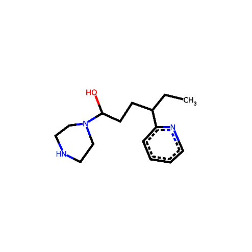 CCC(CCC(O)N1CCNCC1)c1ccccn1